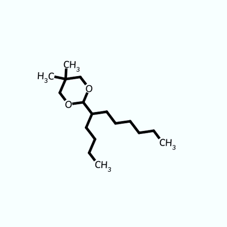 CCCCCCC(CCCC)C1OCC(C)(C)CO1